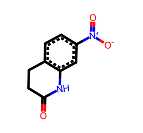 O=C1CCc2ccc([N+](=O)[O-])cc2N1